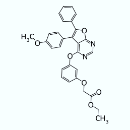 CCOC(=O)COc1cccc(Oc2ncnc3oc(-c4ccccc4)c(-c4ccc(OC)cc4)c23)c1